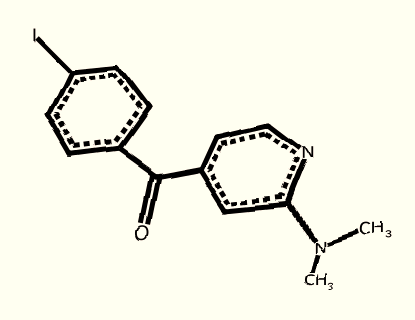 CN(C)c1cc(C(=O)c2ccc(I)cc2)ccn1